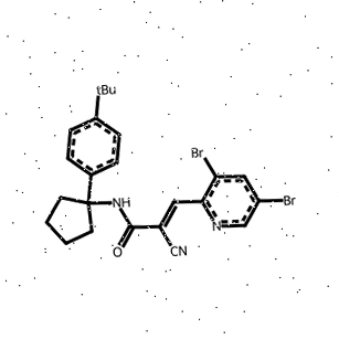 CC(C)(C)c1ccc(C2(NC(=O)C(C#N)=Cc3ncc(Br)cc3Br)CCCC2)cc1